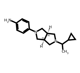 CC(C1CC1)N1C[C@H]2CN(c3ccc(N)cc3)C[C@H]2C1